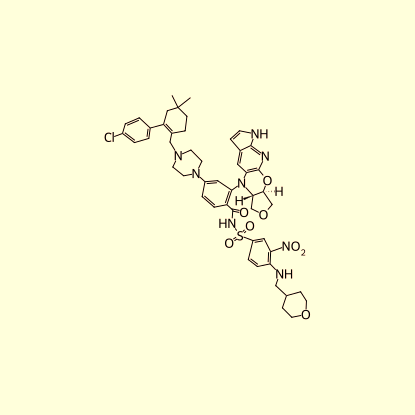 CC1(C)CCC(CN2CCN(c3ccc(C(=O)NS(=O)(=O)c4ccc(NCC5CCOCC5)c([N+](=O)[O-])c4)c(N4c5cc6cc[nH]c6nc5O[C@H]5COC[C@@H]54)c3)CC2)=C(c2ccc(Cl)cc2)C1